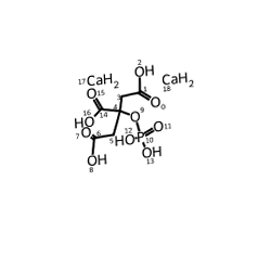 O=C(O)CC(CC(=O)O)(OP(=O)(O)O)C(=O)O.[CaH2].[CaH2]